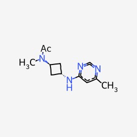 CC(=O)N(C)[C@H]1C[C@H](Nc2cc(C)ncn2)C1